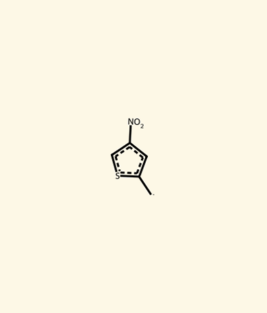 [CH2]c1cc([N+](=O)[O-])cs1